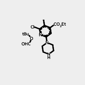 CC(C)(C)OC=O.CCOC(=O)c1cc(N2CCNCC2)nc(Cl)c1C